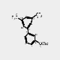 COc1cc[c]c(-c2cc(C(F)(F)F)cc(C(F)(F)F)c2)c1